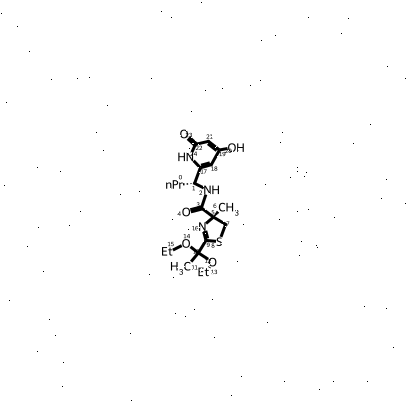 CCC[C@@H](NC(=O)[C@]1(C)CSC(C(C)(OCC)OCC)=N1)c1cc(O)cc(=O)[nH]1